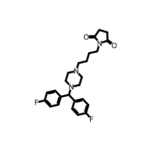 O=C1CCC(=O)N1CCCCN1CCN(C(c2ccc(F)cc2)c2ccc(F)cc2)CC1